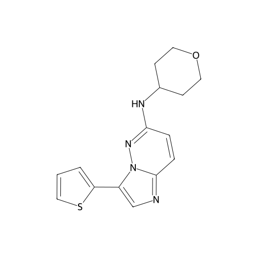 c1csc(-c2cnc3ccc(NC4CCOCC4)nn23)c1